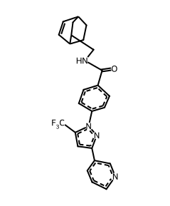 O=C(NCC1CC2C=CC1CC2)c1ccc(-n2nc(-c3cccnc3)cc2C(F)(F)F)cc1